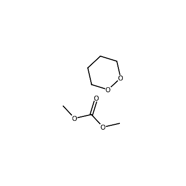 C1CCOOC1.COC(=O)OC